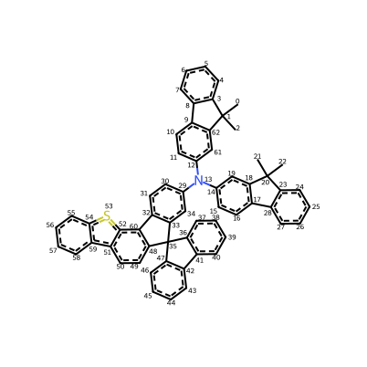 CC1(C)c2ccccc2-c2ccc(N(c3ccc4c(c3)C(C)(C)c3ccccc3-4)c3ccc4c(c3)C3(c5ccccc5-c5ccccc53)c3ccc5c(sc6ccccc65)c3-4)cc21